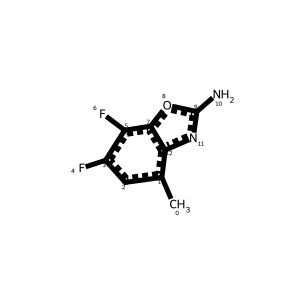 Cc1cc(F)c(F)c2oc(N)nc12